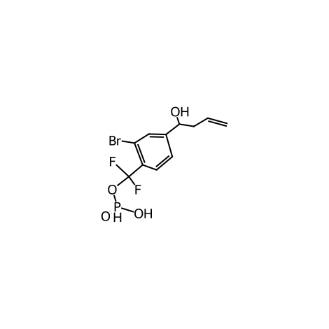 C=CCC(O)c1ccc(C(F)(F)O[PH](=O)O)c(Br)c1